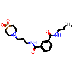 C=CCNC(=O)c1cccc(C(=O)NCCCN2CCS(=O)(=O)CC2)c1